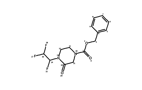 O=C(OCc1ccccc1)N1CCN(C(F)C(F)F)C(=O)C1